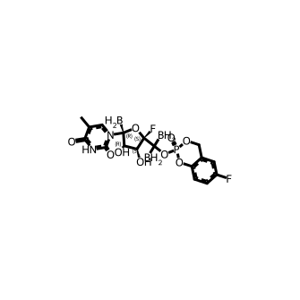 BC(B)(OP1(=O)OCc2cc(F)ccc2O1)[C@@]1(F)O[C@@](B)(n2cc(C)c(=O)[nH]c2=O)[C@H](O)[C@@H]1O